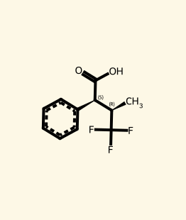 C[C@H]([C@H](C(=O)O)c1ccccc1)C(F)(F)F